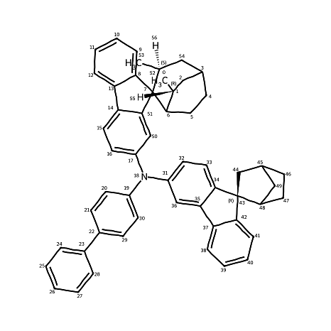 C[C@@H]1CC2CCC1C1(c3ccccc3-c3ccc(N(c4ccc(-c5ccccc5)cc4)c4ccc5c(c4)-c4ccccc4[C@]54CC5CCC4C5)cc31)[C@@H](C)C2